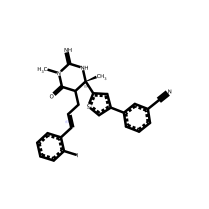 CN1C(=N)N[C@](C)(c2cc(-c3cccc(C#N)c3)cs2)C(C/C=C/c2ccccc2I)C1=O